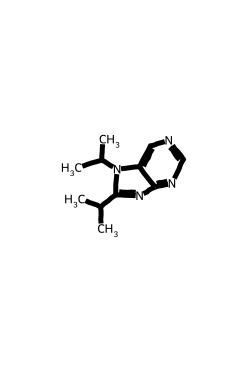 CC(C)c1nc2ncncc2n1C(C)C